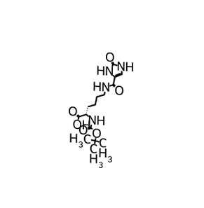 CC(C)(C)OC(=O)N[C@@H](CCCCNC(=O)c1c[nH]c(=O)[nH]1)C(=O)O